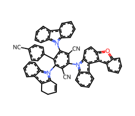 N#Cc1ccc(-c2c(-n3c4c(c5ccccc53)CCC=C4)c(C#N)c(-n3c4ccccc4c4c5c(ccc43)oc3ccccc35)c(C#N)c2-n2c3ccccc3c3ccccc32)cc1